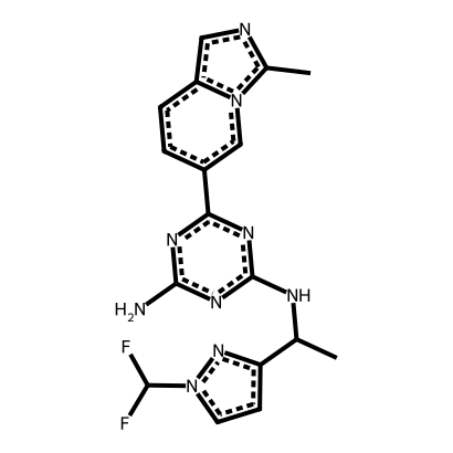 Cc1ncc2ccc(-c3nc(N)nc(NC(C)c4ccn(C(F)F)n4)n3)cn12